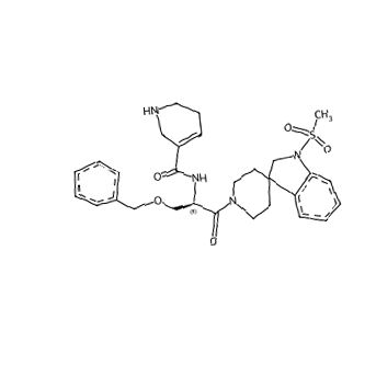 CS(=O)(=O)N1CC2(CCN(C(=O)[C@@H](COCc3ccccc3)NC(=O)C3=CCCNC3)CC2)c2ccccc21